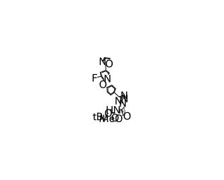 COC(=O)[C@H](Cn1nnc(-c2ccc(Oc3ncc(-c4ncco4)cc3F)cc2)n1)NC(=O)OC(C)(C)C